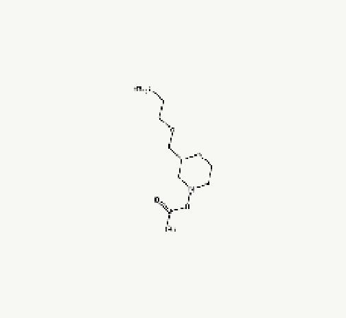 CCOC(=O)CCOCC1CCCN(OC(=O)C(C)(C)C)C1